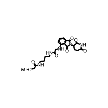 COCC(=O)NCCCCNC(=O)CNc1cccc2c1C(=O)N(C1CCC(=O)NC1=O)C2=O